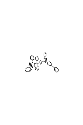 c1ccc(-c2ccc(-c3nc(-c4ccccc4)cc(-c4ccc(-c5c(-c6ccccc6)c6c(-c7ccccc7)nn(-c7ccccc7)c6c6ccccc56)cc4)n3)cc2)cc1